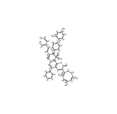 C=CC(=C\C1=C(C)N2C(C=C1c1ccccc1)N=C(/C=C/C(/C=C\C)=C/C)N(c1ccc(-c3ccc(C)cc3C)cc1)S2(F)F)/C1=C(C)/C=C(C)\C=C(\C)CC1